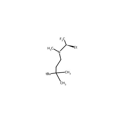 CC[C@@H](N(C)CCC(C)(C)C(C)(C)C)C(F)(F)F